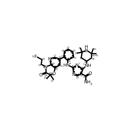 CC1(C)CC(Nc2nc(Nc3ccccc3-c3cnc4c(c3)OC(C)(C)C(=O)N4CCF)ncc2C(N)=O)CC(C)(C)N1